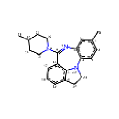 Cc1ccc2c(c1)N=C(N1CCC(C)CC1)c1cccc3c1N2CC3